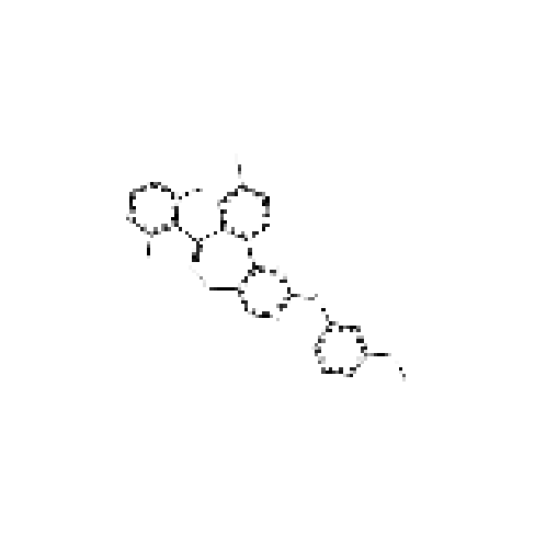 Bc1ccc2c(c1)C(c1c(F)cccc1F)=NCc1cnc(Nc3cccc(OC)c3)nc1-2